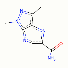 Cc1nn(C)c2ncc(C(N)=O)nc12